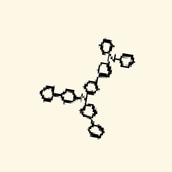 C1=CCC(c2ccc(N(C3=CCC(C4=CCCC=C4)C=C3)C3=CC=C(C4=CC=C(N(c5ccccc5)c5ccccc5)CC4)CC3)cc2)C=C1